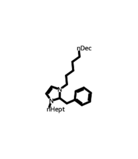 CCCCCCCCCCCCCCCN1C=CN(CCCCCCC)C1Cc1ccccc1